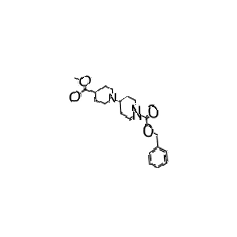 COC(=O)C1CCN(C2CCN(C(=O)OCc3ccccc3)CC2)CC1